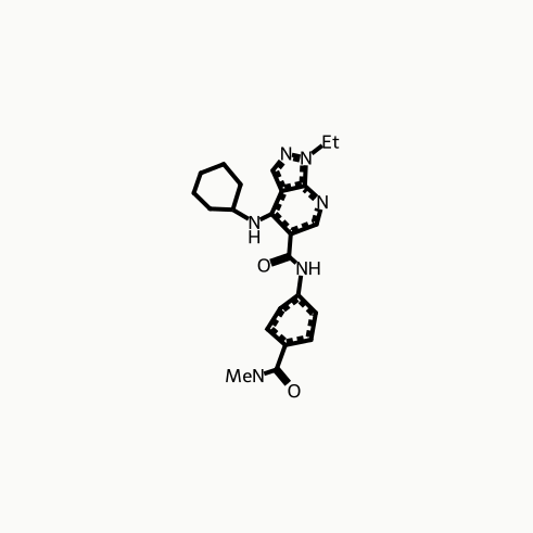 CCn1ncc2c(NC3CCCCC3)c(C(=O)Nc3ccc(C(=O)NC)cc3)cnc21